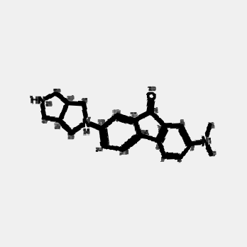 CN(C)c1ccc2c(c1)C(=O)c1cc(N3CC4CNCC4C3)ccc1-2